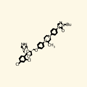 CCC(C)n1ncn(-c2ccc(N3CCN(c4ccc(OC[C@@H]5CO[C@@](Cn6cnnn6)(c6ccc(Cl)cc6Cl)O5)cc4)C(C)C3)cc2)c1=O